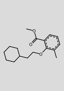 COC(=O)c1cccc(C)c1OCCC1CCCCC1